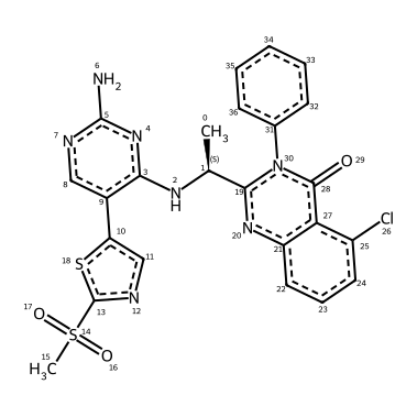 C[C@H](Nc1nc(N)ncc1-c1cnc(S(C)(=O)=O)s1)c1nc2cccc(Cl)c2c(=O)n1-c1ccccc1